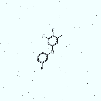 Cc1cc(Oc2cccc(F)c2)cc(F)c1F